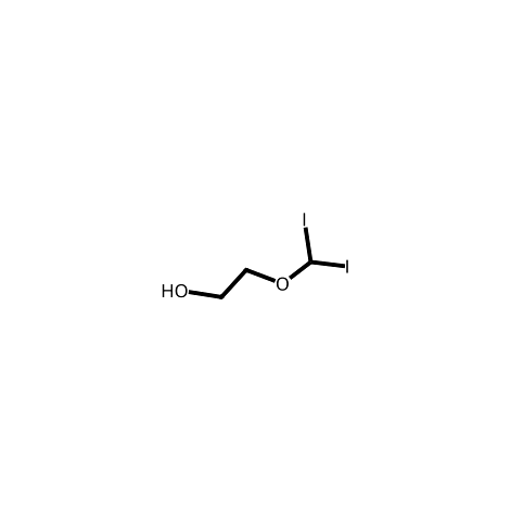 OCCOC(I)I